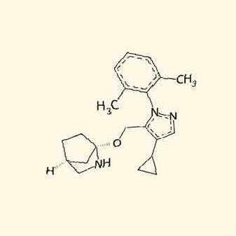 Cc1cccc(C)c1-n1ncc(C2CC2)c1CO[C@]12CC[C@H](CN1)C2